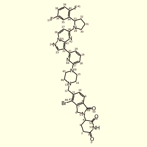 O=C1CCC(N2Cc3c(ccc(CN4CCN(c5cccc(-c6cnn7ccc(N8CCCC8c8cc(F)ccc8F)nc67)n5)CC4)c3Br)C2=O)C(=O)N1